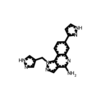 Nc1nc2cc(-c3cc[nH]n3)ccc2c2c1cnn2Cc1cn[nH]c1